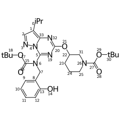 CC(C)c1cnn2c(N(Cc3ccccc3O)C(=O)OC(C)(C)C)nc(OC3CCCN(C(=O)OC(C)(C)C)C3)nc12